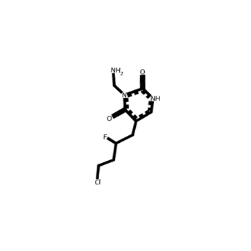 NCn1c(=O)[nH]cc(CC(F)CCCl)c1=O